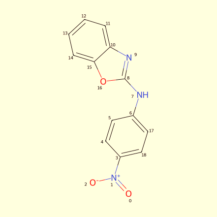 O=[N+]([O-])c1ccc(Nc2nc3ccccc3o2)cc1